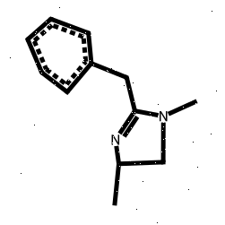 CC1CN(C)C(Cc2ccccc2)=N1